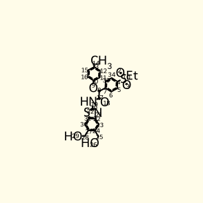 CCS(=O)(=O)c1ccc(C(Oc2ccc(C)cc2)C(=O)Nc2nc3cc(CO)c(CO)cc3s2)cc1